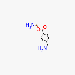 NCc1ccc(C(=O)OSN)cc1